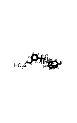 CC(C)(C(=O)N[C@H]1[C@@H]2CC3C[C@H]1C[C@](F)(C3)C2)c1cccc(CCC(=O)O)c1